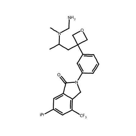 CC(C)c1cc2c(c(C(F)(F)F)c1)CN(c1cccc(C3(CC(C)N(C)CN)COC3)c1)C2=O